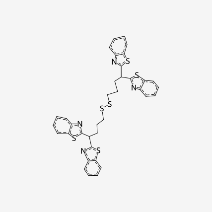 c1ccc2sc(C(CCCSSCCCC(c3nc4ccccc4s3)c3nc4ccccc4s3)c3nc4ccccc4s3)nc2c1